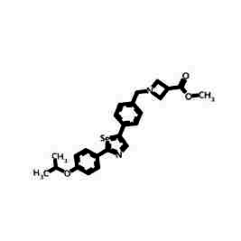 COC(=O)C1CN(Cc2ccc(-c3cnc(-c4ccc(OC(C)C)cc4)[se]3)cc2)C1